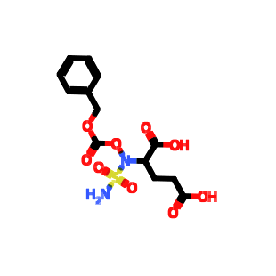 NS(=O)(=O)N(OC(=O)OCc1ccccc1)C(CCC(=O)O)C(=O)O